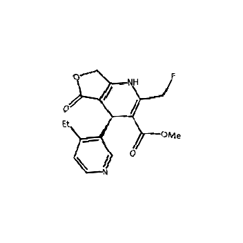 CCc1ccncc1[C@@H]1C(C(=O)OC)=C(CF)NC2=C1C(=O)OC2